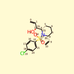 C=C[C@H](O)[C@@H]1CCC[C@H](C=C)N1S(=O)(=O)c1ccc(Cl)cc1